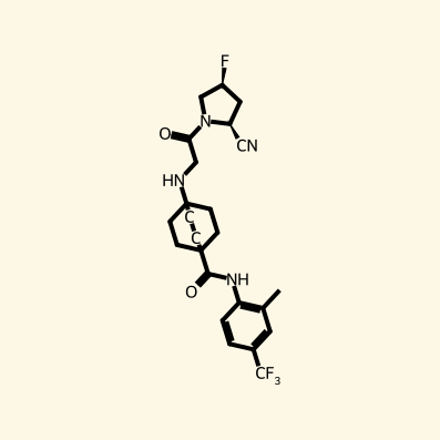 Cc1cc(C(F)(F)F)ccc1NC(=O)C12CCC(NCC(=O)N3C[C@@H](F)C[C@H]3C#N)(CC1)CC2